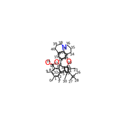 Cc1c(C)c(C)c2c(c1C)C(=O)OC21c2cc3c4c(c2Oc2c(C)c(C(C)(C)C)c(C)c(C)c21)CCCN4CCC3